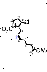 COC(=O)CCC/C=C\C[C@@H]1C(Cl)CCN1C(=O)O